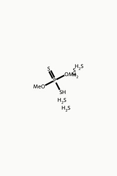 COP(=S)(S)OC.S.S.S.S